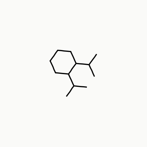 CC(C)[C]1CCCCC1C(C)C